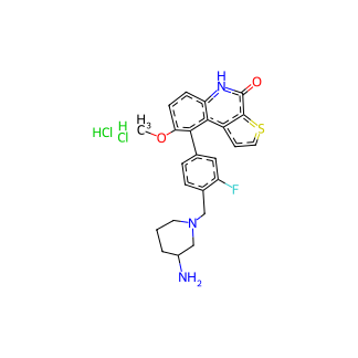 COc1ccc2[nH]c(=O)c3sccc3c2c1-c1ccc(CN2CCCC(N)C2)c(F)c1.Cl.Cl